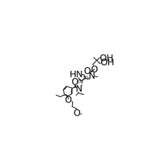 CCc1ccc(C(=O)N(C[C@@H]2CNC[C@H]2CN(C)C(=O)OCC(C)(CO)CO)C(C)C)cc1OCCCOC